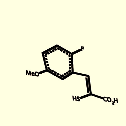 COc1ccc(F)c(C=C(S)C(=O)O)c1